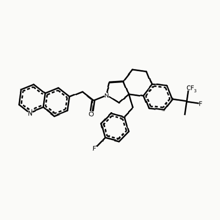 CC(F)(c1ccc2c(c1)CCC1CN(C(=O)Cc3ccc4ncccc4c3)CC21Cc1ccc(F)cc1)C(F)(F)F